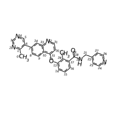 Cc1ncncc1-c1ccc2c(Oc3cccc(C(=O)NCc4ccncc4)c3C)ccnc2c1